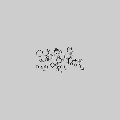 C=C[C@@H]1C[C@]1(NC(=O)[C@@H]1C[C@@]2(CN1C(=O)[C@@H](NC(=O)[C@@H](NC(=O)[C@@H]1CCCN1CC)C1CCCCC1)C(C)(C)C)C(C)(C)C21CCC1)C(=O)NS(=O)(=O)C1CCC1